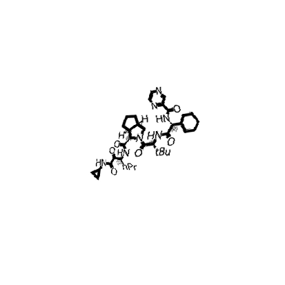 CCC[C@H](NC(=O)[C@H]1[C@H]2CCC[C@H]2CN1C(=O)[C@@H](NC(=O)[C@H](NC(=O)c1cnccn1)C1CCCCC1)C(C)(C)C)C(=O)C(=O)NC1CC1